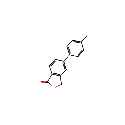 Cc1ccc(-c2ccc3c(c2)COC3=O)cc1